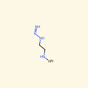 CCCNCCNN=N